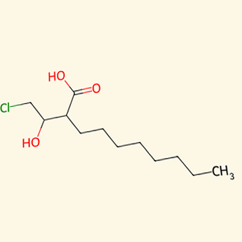 CCCCCCCCC(C(=O)O)C(O)CCl